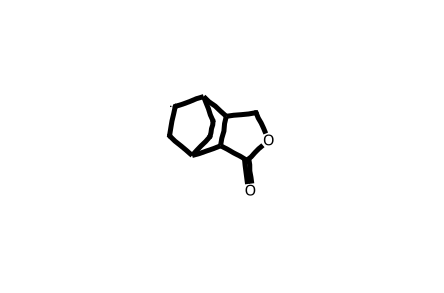 O=C1OCC2C3[CH]CC(CC3)C12